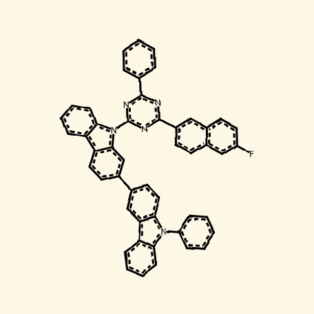 Fc1ccc2cc(-c3nc(-c4ccccc4)nc(-n4c5ccccc5c5ccc(-c6ccc7c(c6)c6ccccc6n7-c6ccccc6)cc54)n3)ccc2c1